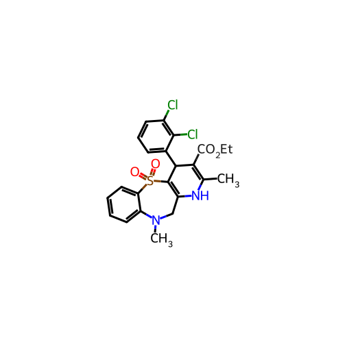 CCOC(=O)C1=C(C)NC2=C(C1c1cccc(Cl)c1Cl)S(=O)(=O)c1ccccc1N(C)C2